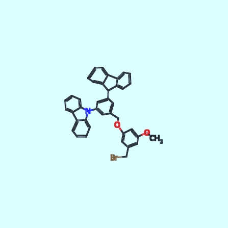 COc1cc(CBr)cc(OCc2cc(C3c4ccccc4-c4ccccc43)cc(-n3c4ccccc4c4ccccc43)c2)c1